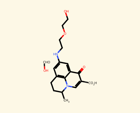 CC1CCc2cc(NCCOCCO)cc3c(=O)c(C(=O)O)cn1c23.O=CO